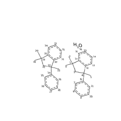 CC1(C)CC(C)(c2ccccc2)c2ccccc21.CC1(C)CC(C)(c2ccccc2)c2ccccc21.O